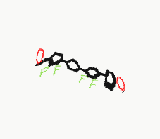 COc1ccc(-c2ccc(C3CCC(c4ccc(C5CO5)c(F)c4F)CC3)c(F)c2F)cc1